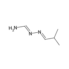 CC(C)/C=N/N=C/N